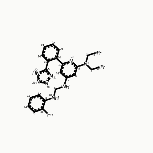 CC(C)CN(CC(C)C)c1cc(NCNc2ccccc2F)cc(-c2ccccc2-c2nnn[nH]2)n1